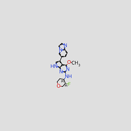 COc1nc(N[C@@H]2CCOC[C@@H]2F)nc2[nH]cc(-c3ccc4nccn4c3)c12